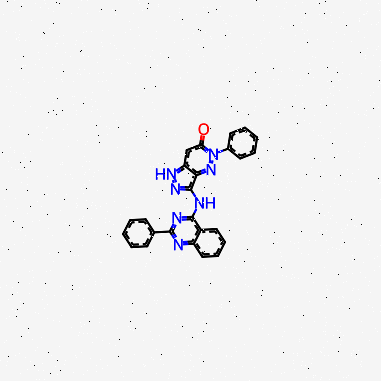 O=c1cc2[nH]nc(Nc3nc(-c4ccccc4)nc4ccccc34)c2nn1-c1ccccc1